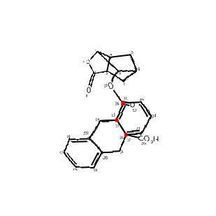 O=C1OC2C3CC(CC13)C2OC(=O)C1C2c3ccccc3C(c3ccccc32)C1C(=O)O